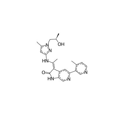 C/C(Nc1cc(C)n(C[C@@H](C)O)n1)=C1/C(=O)Nc2cnc(-c3cnccc3C)cc21